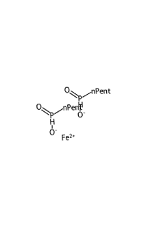 CCCCC[PH](=O)[O-].CCCCC[PH](=O)[O-].[Fe+2]